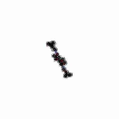 C(=C\c1ccc2c(c1)C1(c3ccccc3-c3ccccc31)c1cc(-c3ccc4c(c3)C3(c5ccccc5-c5ccccc53)c3cc(/C=C/c5ccc(-c6ccc7c(c6)c6ccccc6n7-c6ccccc6)cc5)ccc3-4)ccc1-2)/c1ccc(-c2ccc3c(c2)c2ccccc2n3-c2ccccc2)cc1